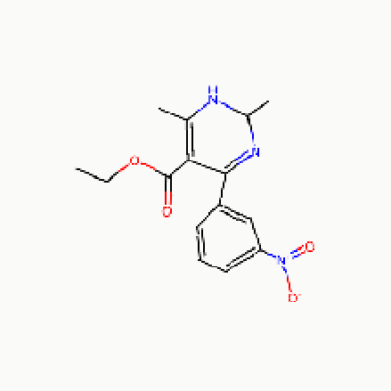 CCOC(=O)C1=C(C)NC(C)N=C1c1cccc([N+](=O)[O-])c1